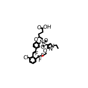 CCOc1nn(CC)cc1S(=O)(=O)N1CC(CCC(=O)O)Oc2ccc(C=Cc3c(Cl)cccc3C(F)(F)F)cc21